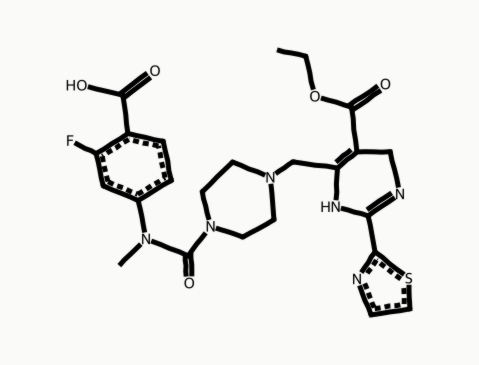 CCOC(=O)C1=C(CN2CCN(C(=O)N(C)c3ccc(C(=O)O)c(F)c3)CC2)NC(c2nccs2)=NC1